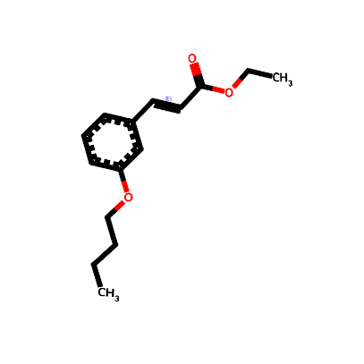 CCCCOc1cccc(/C=C/C(=O)OCC)c1